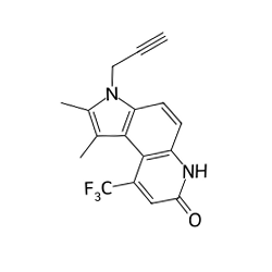 C#CCn1c(C)c(C)c2c3c(C(F)(F)F)cc(=O)[nH]c3ccc21